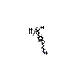 NC(CO)(CO)CCc1ccc(OCCCC/C=C\I)cc1